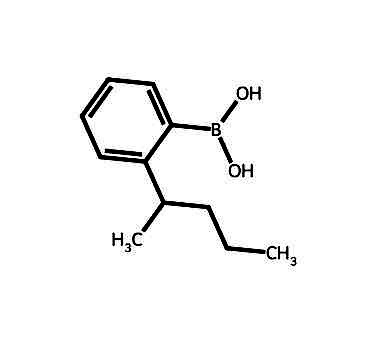 CCCC(C)c1ccccc1B(O)O